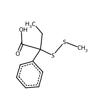 CCC(SSC)(C(=O)O)c1ccccc1